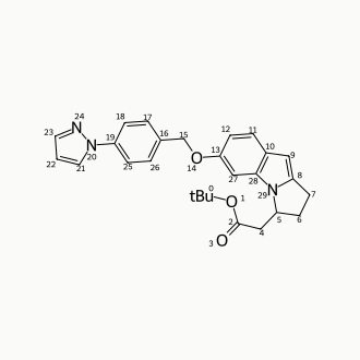 CC(C)(C)OC(=O)CC1CCc2cc3ccc(OCc4ccc(-n5cccn5)cc4)cc3n21